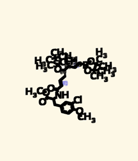 COC(=O)C(Cc1ccc(OC)c(Cl)c1)NC(=O)/C=C/C[C@H](O[Si](C)(C)C(C)(C)C)[C@H](C)/C=C/B1OC(C)(C)C(C)(C)O1